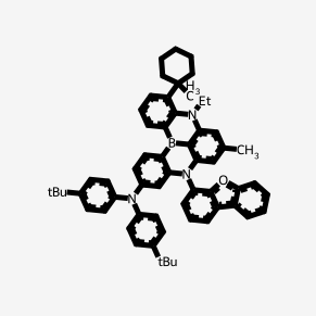 CCN1c2cc(C)cc3c2B(c2ccc(N(c4ccc(C(C)(C)C)cc4)c4ccc(C(C)(C)C)cc4)cc2N3c2cccc3c2oc2ccccc23)c2cccc(C3(C)CCCCC3)c21